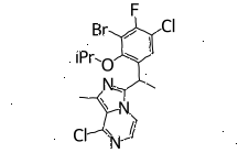 Cc1nc(C(C)c2cc(Cl)c(F)c(Br)c2OC(C)C)n2ccnc(Cl)c12